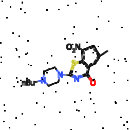 CCCCN1CCN(c2nc(=O)c3cc(C)cc([N+](=O)[O-])c3s2)CC1